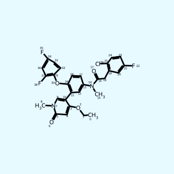 CCOc1cc(=O)n(C)cc1-c1cc(N(C)C(=O)Cc2cc(F)ccc2Cl)ccc1Oc1ccc(F)cc1F